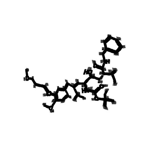 COCCCOc1cc(C[C@@H](C[C@H](NC(=O)OC(C)(C)C)[C@@H](O)C[C@H](C(=O)NCc2ccccc2)C(C)C)C(C)C)ccc1OC